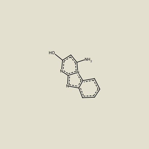 Nc1cc(O)nc2nc3ccccc3n12